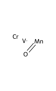 [Cr].[O]=[Mn].[V]